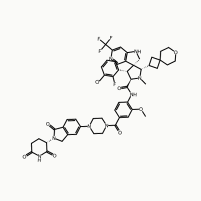 COc1cc(C(=O)N2CCN(c3ccc4c(c3)CN([C@H]3CCC(=O)NC3=O)C4=O)CC2)ccc1NC(=O)[C@H]1[C@H](c2cccc(Cl)c2F)[C@]2(CNc3cc(C(F)(F)F)ncc32)[C@H](C2CC3(CCOCC3)C2)N1C